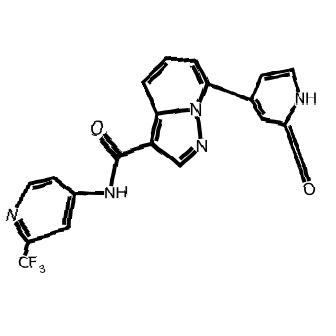 O=C=C1C=C(c2cccc3c(C(=O)Nc4ccnc(C(F)(F)F)c4)cnn23)C=CN1